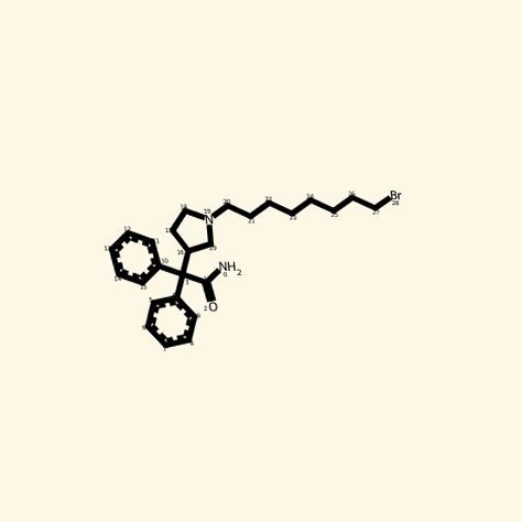 NC(=O)C(c1ccccc1)(c1ccccc1)C1CCN(CCCCCCCCBr)C1